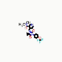 CN(C)C(=O)c1cnccc1CN1C(=O)N(c2ccc(OC(F)(F)F)cc2)C(=O)C12CC2